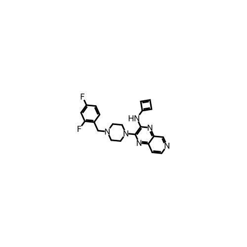 Fc1ccc(CN2CCN(c3nc4ccncc4nc3NC3=CC=C3)CC2)c(F)c1